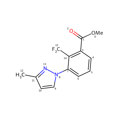 COC(=O)c1cccc(-n2ccc(C)n2)c1C(F)(F)F